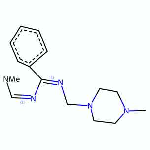 CN/C=N\C(=N/CN1CCN(C)CC1)c1ccccc1